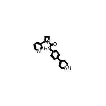 O=C(Nc1ccc(C2=CCNCC2)cc1)N1CCC1c1cccnc1